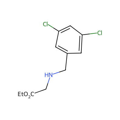 CCOC(=O)CNCc1cc(Cl)cc(Cl)c1